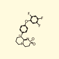 O=S1(=O)CCN2CCC[C@@H](c3ccc(Oc4cc(F)c(F)cc4F)cc3)C2=N1